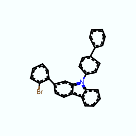 Brc1ccccc1-c1ccc2c3ccccc3n(-c3ccc(-c4ccccc4)cc3)c2c1